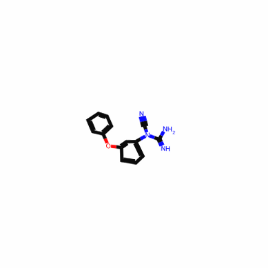 N#CN(C(=N)N)c1cccc(Oc2ccccc2)c1